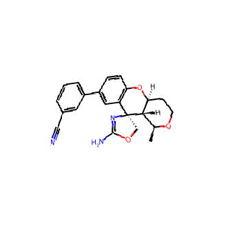 C[C@@H]1OCC[C@@H]2Oc3ccc(-c4cccc(C#N)c4)cc3[C@@]3(COC(N)=N3)[C@@H]12